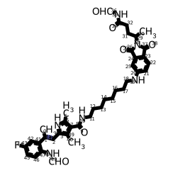 C/C(=C\c1[nH]c(C)c(C(=O)NCCCCCCCCNc2ccc3c(c2)C(=O)N(C(C)CCC(=O)NC=O)C3=O)c1C)c1cc(F)ccc1NC=O